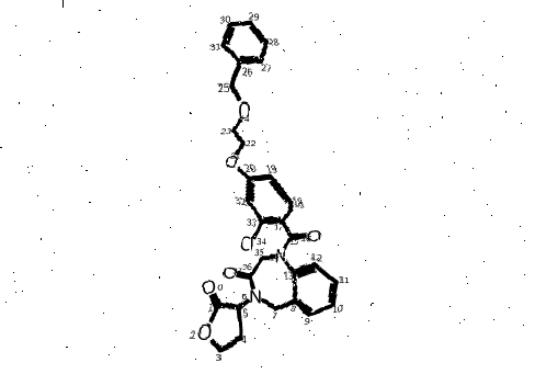 O=C1OCCC1N1Cc2ccccc2N(C(=O)c2ccc(OCCOCc3ccccc3)cc2Cl)CC1=O